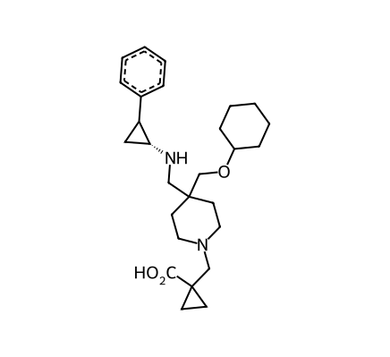 O=C(O)C1(CN2CCC(CN[C@@H]3CC3c3ccccc3)(COC3CCCCC3)CC2)CC1